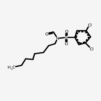 CCCCCCCCN(C=O)S(=O)(=O)c1cc(Cl)cc(Cl)c1